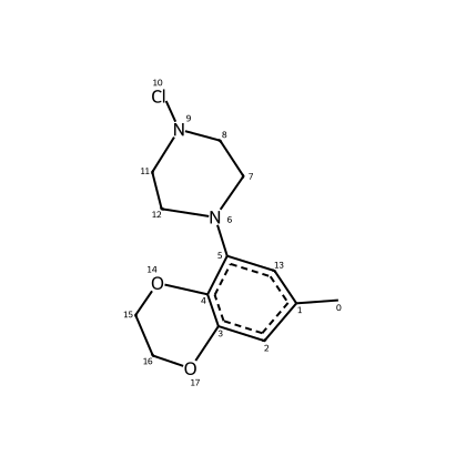 Cc1cc2c(c(N3CCN(Cl)CC3)c1)OCCO2